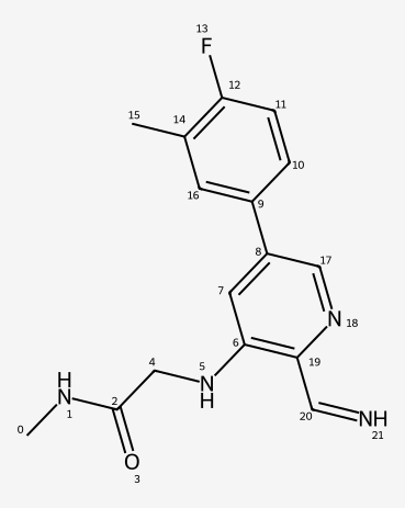 CNC(=O)CNc1cc(-c2ccc(F)c(C)c2)cnc1C=N